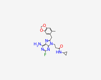 Cc1cc2c(cc1Cc1nc3c(N)nc(F)nc3n1CCC(=O)NC1CC1)OCO2